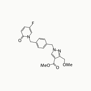 COCc1nn(Cc2ccc(Cn3cc(F)ccc3=O)cc2)cc1C(=O)OC